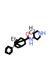 CCC12CC3CC(C(=O)NC4CCNCC4C)(C1)C[C@@](c1ccccc1)(C3)C2